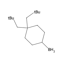 BC1CCC(CC(C)(C)C)(CC(C)(C)C)CC1